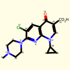 CN1CCN(c2nc3c(cc2Cl)c(=O)c(C(=O)O)cn3C2CC2)CC1